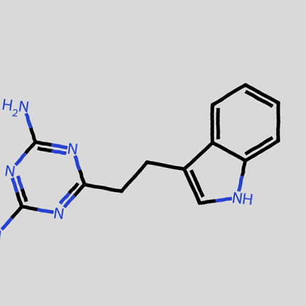 Nc1nc(N)nc(CCc2c[nH]c3ccccc23)n1